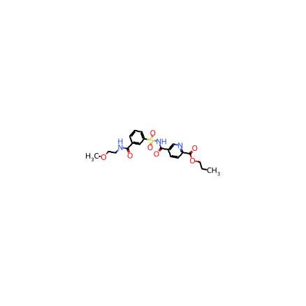 CCCOC(=O)c1ccc(C(=O)NS(=O)(=O)c2cccc(C(=O)NCCOC)c2)cn1